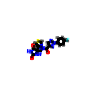 O=C1NC(=O)C(CNC(=O)c2cnn(-c3ccc(F)cc3)n2)(c2cscn2)N1